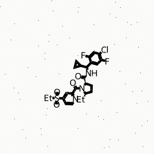 CC[C@@H]1CC[C@H](C(=O)NC(c2cc(F)c(Cl)cc2F)C2CC2)N1C(=O)c1cc(S(=O)(=O)CC)ccn1